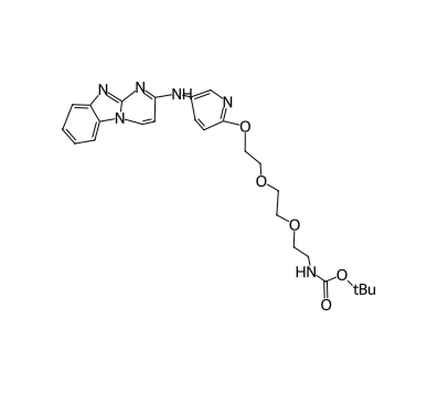 CC(C)(C)OC(=O)NCCOCCOCCOc1ccc(Nc2ccn3c(n2)nc2ccccc23)cn1